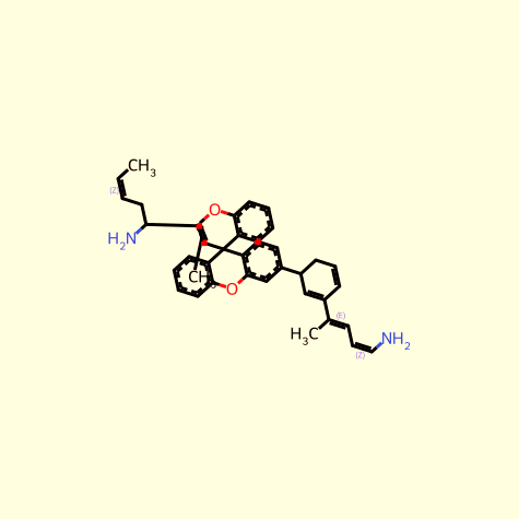 C/C=C\CC(N)C1=CC2=C(C(C)C1)C1(c3ccccc3O2)c2ccccc2Oc2cc(C3C=C(/C(C)=C/C=C\N)C=CC3)ccc21